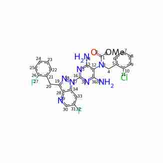 COC(=O)N(Cc1ccccc1Cl)c1c(N)nc(-n2nc(Cc3ccccc3F)c3ncc(F)cc32)nc1N